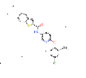 Cc1cc(Cl)ccc1Oc1ccc(NC(=O)c2cc3ccccc3s2)cn1